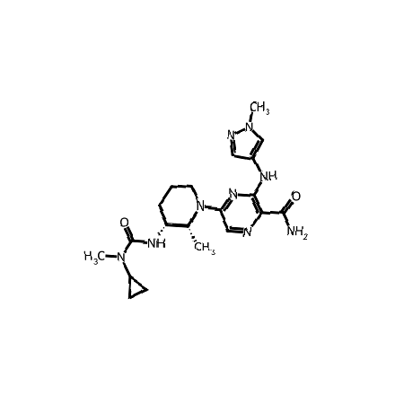 C[C@@H]1[C@H](NC(=O)N(C)C2CC2)CCCN1c1cnc(C(N)=O)c(Nc2cnn(C)c2)n1